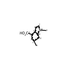 Cc1cc(C(=O)O)c2ccn(C)c2c1